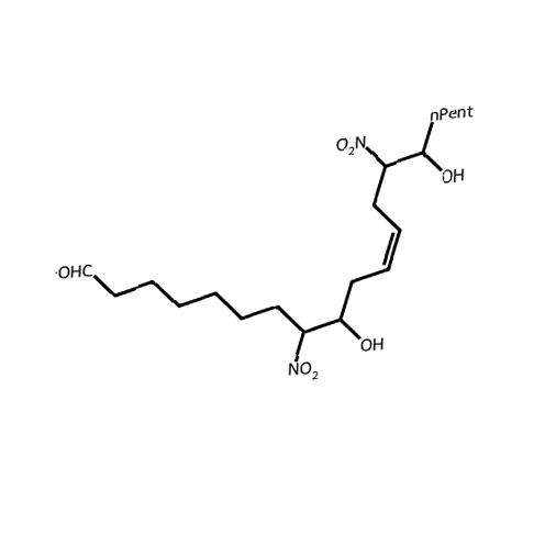 CCCCCC(O)C(C/C=C\CC(O)C(CCCCCC[C]=O)[N+](=O)[O-])[N+](=O)[O-]